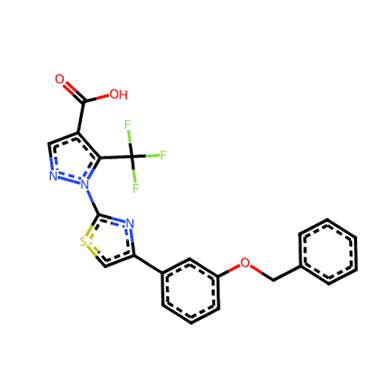 O=C(O)c1cnn(-c2nc(-c3cccc(OCc4ccccc4)c3)cs2)c1C(F)(F)F